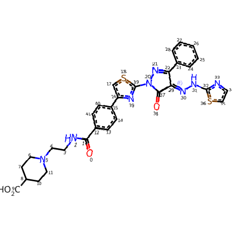 O=C(NCCN1CCC(C(=O)O)CC1)c1ccc(-c2csc(N3N=C(c4ccccc4)/C(=N\Nc4nccs4)C3=O)n2)cc1